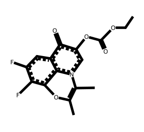 CCOC(=O)Oc1cn2c3c(c(F)c(F)cc3c1=O)OC(C)=C2C